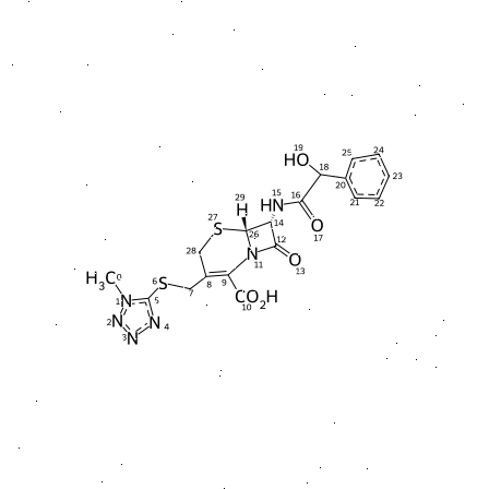 Cn1nnnc1SCC1=C(C(=O)O)N2C(=O)[C@@H](NC(=O)C(O)c3ccccc3)[C@H]2SC1